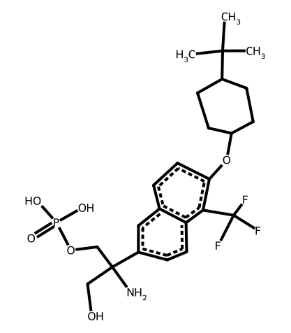 CC(C)(C)C1CCC(Oc2ccc3cc(C(N)(CO)COP(=O)(O)O)ccc3c2C(F)(F)F)CC1